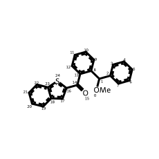 COC(c1ccccc1)c1ccccc1C(=O)c1cc2ccccc2s1